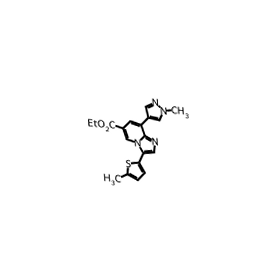 CCOC(=O)c1cc(-c2cnn(C)c2)c2ncc(-c3ccc(C)s3)n2c1